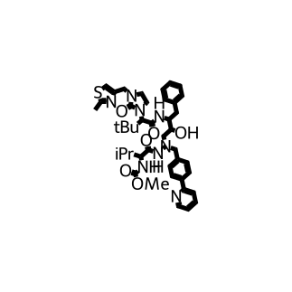 COC(=O)NC(C(=O)NN(Cc1ccc(-c2ccccn2)cc1)CC(O)C(Cc1ccccc1)NC(=O)C(N1CCN(Cc2csc(C)n2)C1=O)C(C)(C)C)C(C)C